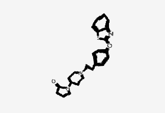 O=C1CCCN1C1CCN(CCc2ccc(Oc3nc4ccccc4s3)cc2)CC1